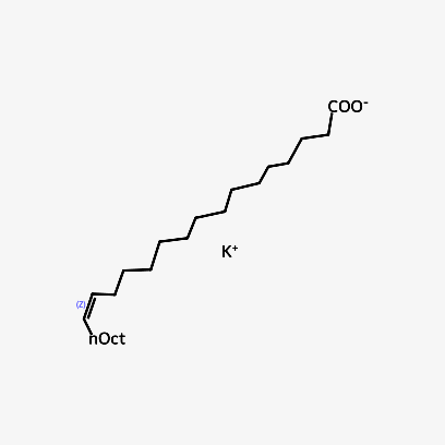 CCCCCCCC/C=C\CCCCCCCCCCCCCC(=O)[O-].[K+]